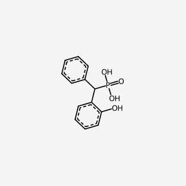 O=P(O)(O)C(c1ccccc1)c1ccccc1O